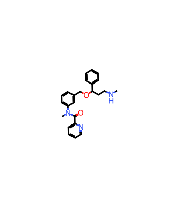 CNCCC(OCc1cccc(N(C)C(=O)c2ccccn2)c1)c1ccccc1